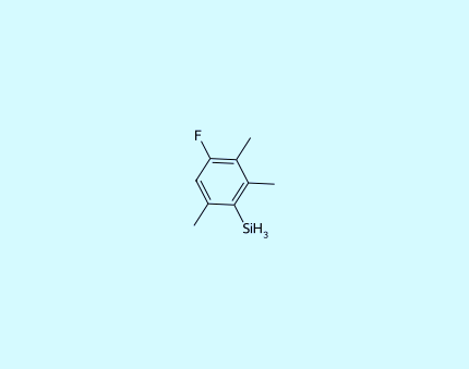 Cc1cc(F)c(C)c(C)c1[SiH3]